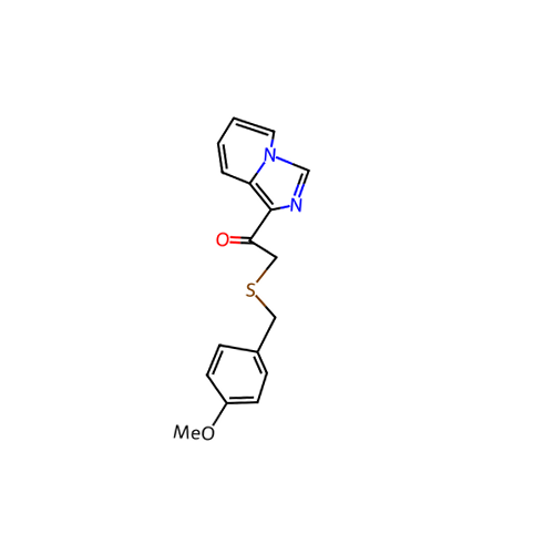 COc1ccc(CSCC(=O)c2ncn3ccccc23)cc1